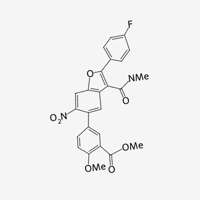 CNC(=O)c1c(-c2ccc(F)cc2)oc2cc([N+](=O)[O-])c(-c3ccc(OC)c(C(=O)OC)c3)cc12